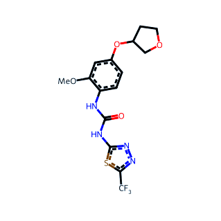 COc1cc(OC2CCOC2)ccc1NC(=O)Nc1nnc(C(F)(F)F)s1